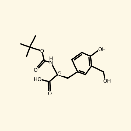 CC(C)(C)OC(=O)N[C@@H](Cc1ccc(O)c(CO)c1)C(=O)O